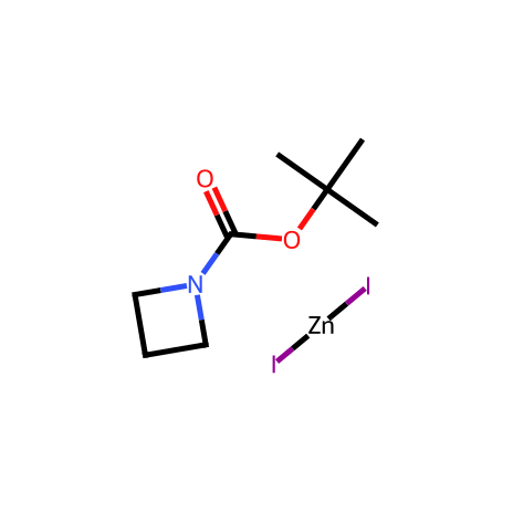 CC(C)(C)OC(=O)N1CCC1.[I][Zn][I]